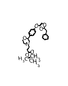 CC(C)(C)OC(=O)CCN1CCOC(c2ccc(OC3=COC(Cc4ccccc4)O3)cc2)C1